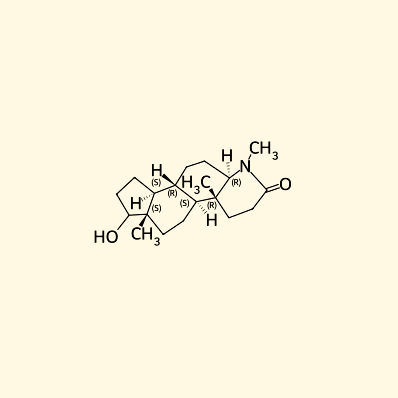 CN1C(=O)CC[C@]2(C)[C@H]3CC[C@]4(C)C(O)CC[C@H]4[C@@H]3CC[C@@H]12